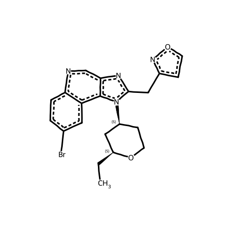 CC[C@H]1C[C@@H](n2c(Cc3ccon3)nc3cnc4ccc(Br)cc4c32)CCO1